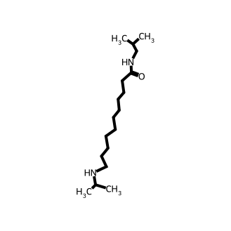 CC(C)CNC(=O)CCCCCCCCCCNC(C)C